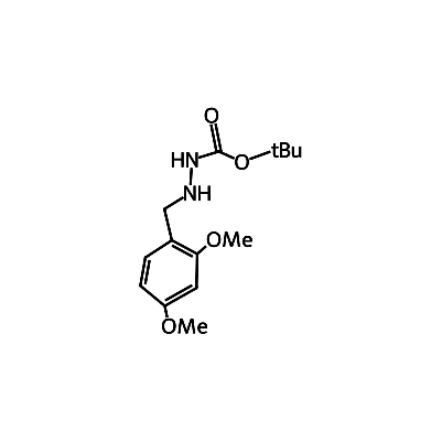 COc1ccc(CNNC(=O)OC(C)(C)C)c(OC)c1